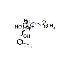 COC(=O)CCC/C=C1/O[C@H]2C[C@@H](O)[C@H](C=C[C@@H](O)Cc3cccc(C)c3)[C@H]2C1(F)F